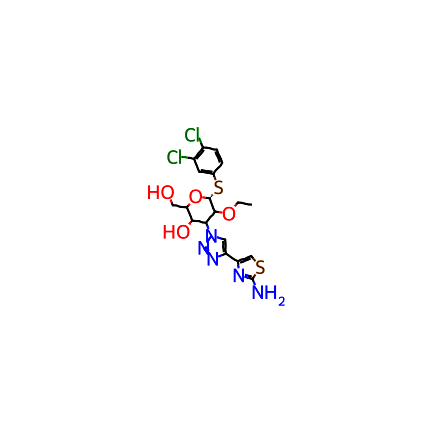 CCOC1C(n2cc(-c3csc(N)n3)nn2)[C@@H](O)C(CO)O[C@@H]1Sc1ccc(Cl)c(Cl)c1